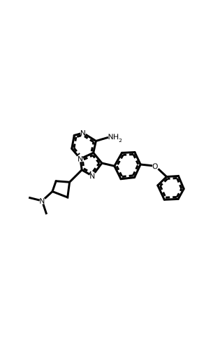 CN(C)C1CC(c2nc(-c3ccc(Oc4ccccc4)cc3)c3c(N)nccn23)C1